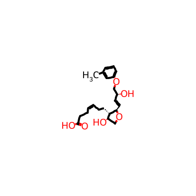 Cc1cccc(OC[C@H](O)/C=C/[C@H]2OC[C@H](O)[C@@H]2CC/C=C\CCC(=O)O)c1